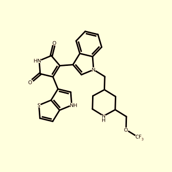 O=C1NC(=O)C(c2c[nH]c3ccsc23)=C1c1cn(CC2CCNC(COC(F)(F)F)C2)c2ccccc12